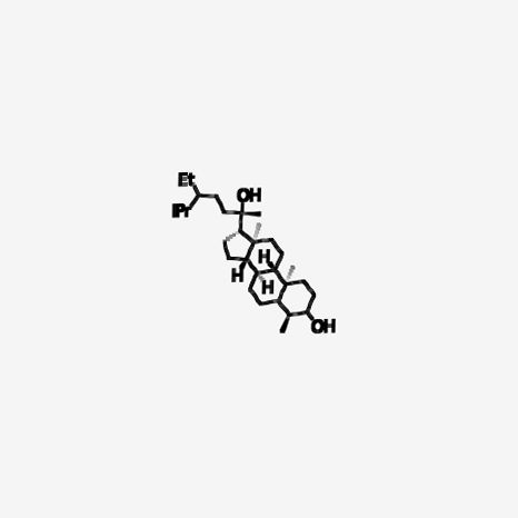 CCC(CC[C@](C)(O)[C@H]1CC[C@H]2[C@@H]3CCC4[C@H](C)C(O)CC[C@]4(C)[C@H]3CC[C@@]21C)C(C)C